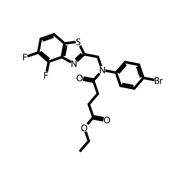 CCOC(=O)CCC(=O)N(Cc1nc2c(F)c(F)ccc2s1)c1ccc(Br)cc1